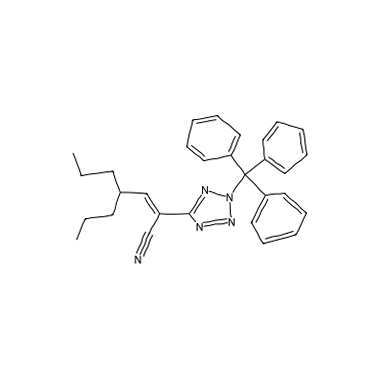 CCCC(C=C(C#N)c1nnn(C(c2ccccc2)(c2ccccc2)c2ccccc2)n1)CCC